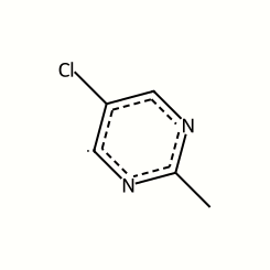 Cc1n[c]c(Cl)cn1